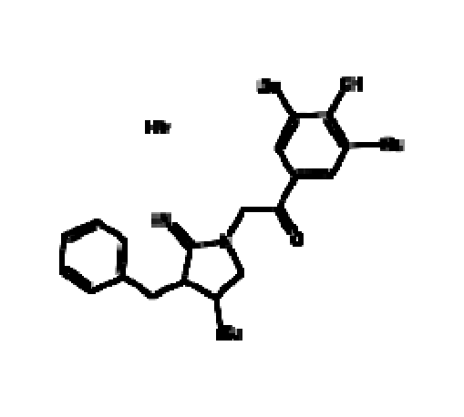 Br.CCCCC1CN(CC(=O)c2cc(C(C)(C)C)c(O)c(C(C)(C)C)c2)C(=N)C1Cc1ccccc1